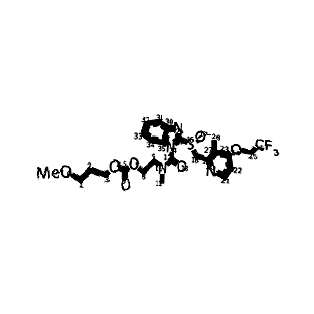 COCCCOC(=O)OCCN(C)C(=O)n1c([S@+]([O-])Cc2nccc(OCC(F)(F)F)c2C)nc2ccccc21